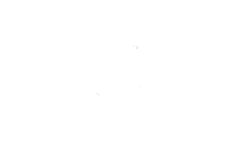 NCCCC(CO)SC(CO)CCCN